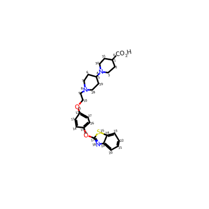 O=C(O)C1CCN(C2CCN(CCOc3ccc(Oc4nc5ccccc5s4)cc3)CC2)CC1